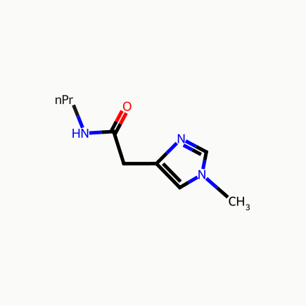 CCCNC(=O)Cc1cn(C)cn1